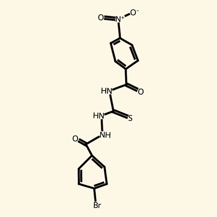 O=C(NNC(=S)NC(=O)c1ccc([N+](=O)[O-])cc1)c1ccc(Br)cc1